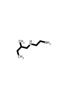 CCC(C)CNCCN